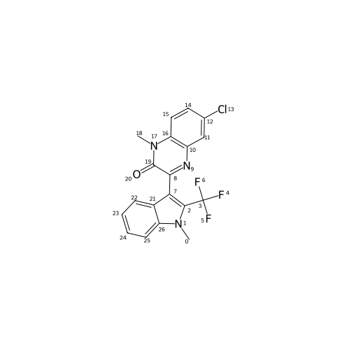 Cn1c(C(F)(F)F)c(-c2nc3cc(Cl)ccc3n(C)c2=O)c2ccccc21